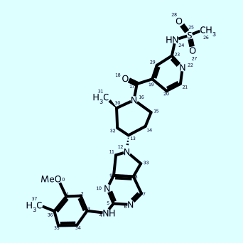 COc1cc(Nc2ncc3c(n2)CN([C@H]2CCN(C(=O)c4ccnc(NS(C)(=O)=O)c4)[C@H](C)C2)C3)ccc1C